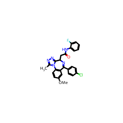 COc1ccc2c(c1)C(c1ccc(Cl)cc1)=NC(CC(=O)Nc1ccccc1F)c1nnc(C)n1-2